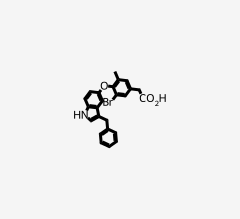 Cc1cc(CC(=O)O)cc(Br)c1Oc1ccc2[nH]cc(Cc3ccccc3)c2c1